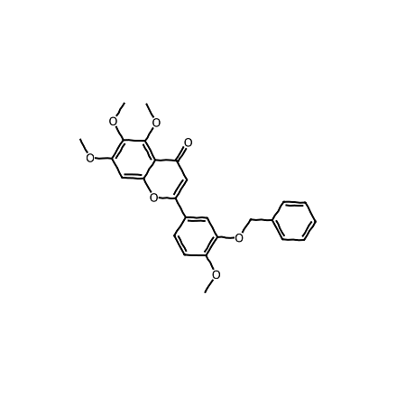 COc1ccc(-c2cc(=O)c3c(OC)c(OC)c(OC)cc3o2)cc1OCc1ccccc1